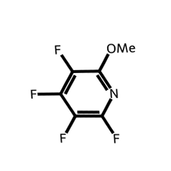 [CH2]Oc1nc(F)c(F)c(F)c1F